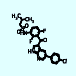 CC(C)CS(=O)(=O)Nc1ccc(F)c(C(=O)c2c[nH]c3ncc(-c4ccc(Cl)cc4)cc23)c1F